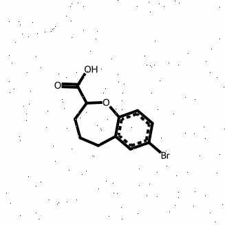 O=C(O)C1CCCc2cc(Br)ccc2O1